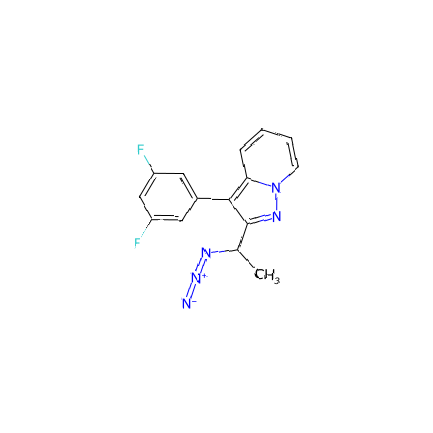 CC(N=[N+]=[N-])c1nn2ccccc2c1-c1cc(F)cc(F)c1